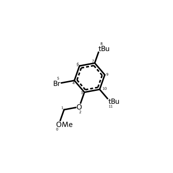 COCOc1c(Br)[c]c(C(C)(C)C)cc1C(C)(C)C